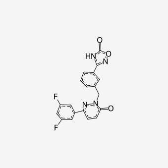 O=c1[nH]c(-c2cccc(Cn3nc(-c4cc(F)cc(F)c4)ccc3=O)c2)no1